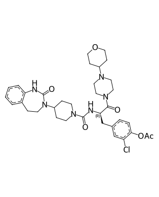 CC(=O)Oc1ccc(C[C@@H](NC(=O)N2CCC(N3CCc4ccccc4NC3=O)CC2)C(=O)N2CCN(C3CCOCC3)CC2)cc1Cl